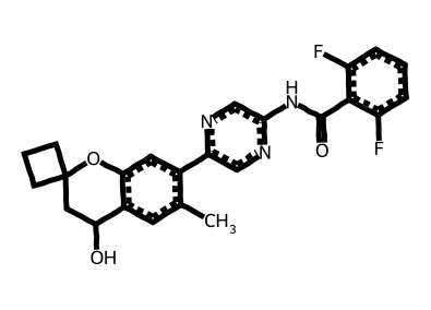 Cc1cc2c(cc1-c1cnc(NC(=O)c3c(F)cccc3F)cn1)OC1(CCC1)CC2O